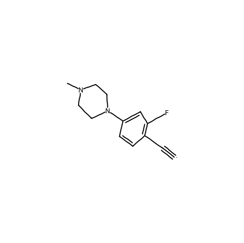 [C]#Cc1ccc(N2CCN(C)CC2)cc1F